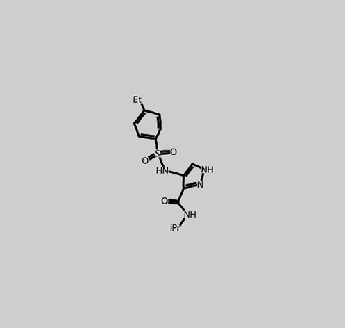 CCc1ccc(S(=O)(=O)Nc2c[nH]nc2C(=O)NC(C)C)cc1